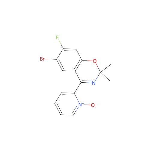 CC1(C)N=C(c2cccc[n+]2[O-])c2cc(Br)c(F)cc2O1